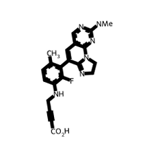 CNc1ncc2c(n1)N1CCN=C1C(c1c(C)ccc(NCC#CC(=O)O)c1F)=C2